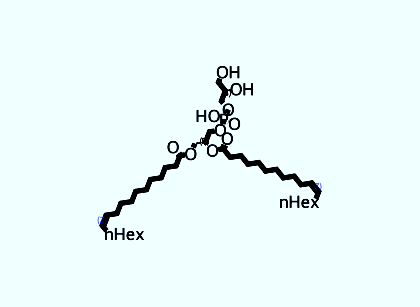 CCCCCC/C=C\CCCCCCCCCC(=O)OC[C@H](COP(=O)(O)OC[C@@H](O)CO)OC(=O)CCCCCCCCC/C=C\CCCCCC